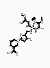 C#C[C@H](NP(=O)(N[C@@H](C)C(=O)OC)OCC1O[C@@H](N2C=CCC(C(=O)O)=C2)C[C@@H]1C)C(=O)OC